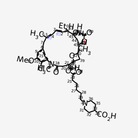 CC[C@@H]1/C=C/C=C(\C)Cc2cc(OC)c(Cl)c(c2)N(C)C(=O)C[C@H](OC(=O)CCCCCN2CCC(C(=O)O)CC2)[C@@]2(C)CC(C)(O2)[C@@H]2C[C@@]1(O)NC(=O)O2